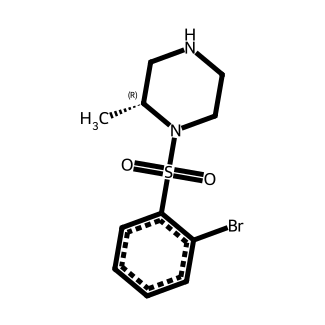 C[C@@H]1CNCCN1S(=O)(=O)c1ccccc1Br